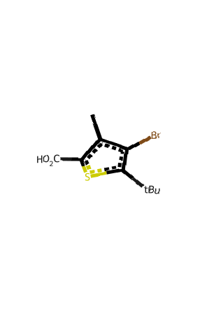 Cc1c(C(=O)O)sc(C(C)(C)C)c1Br